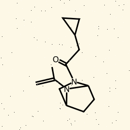 C=C(C)N1C2CCC1N(C(=O)CC1CC1)C2